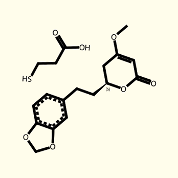 COC1=CC(=O)O[C@@H](CCc2ccc3c(c2)OCO3)C1.O=C(O)CCS